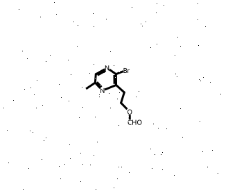 Cc1cnc(Br)c(CCOC=O)n1